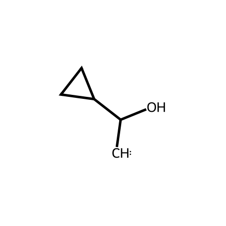 [CH]C(O)C1CC1